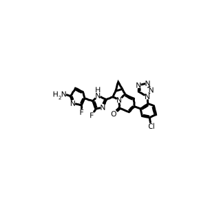 Nc1ccc(-c2[nH]c(C3C4CC4c4cc(-c5cc(Cl)ccc5-n5cnnn5)cc(=O)n43)nc2F)c(F)n1